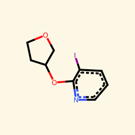 Ic1cccnc1OC1CCOC1